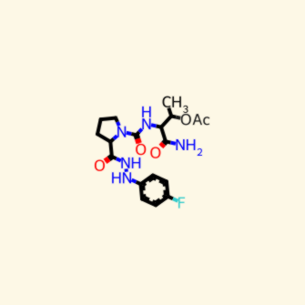 CC(=O)OC(C)C(NC(=O)N1CCCC1C(=O)NNc1ccc(F)cc1)C(N)=O